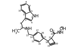 CC(Cc1c[nH]c2ccccc12)NCc1ccc(C2C#CC2C(=O)NO)cc1